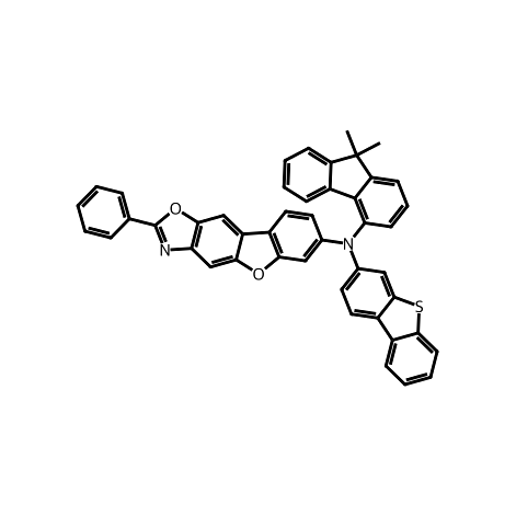 CC1(C)c2ccccc2-c2c(N(c3ccc4c(c3)oc3cc5nc(-c6ccccc6)oc5cc34)c3ccc4c(c3)sc3ccccc34)cccc21